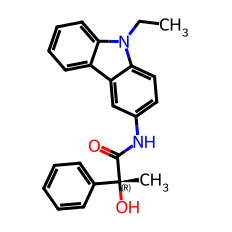 CCn1c2ccccc2c2cc(NC(=O)[C@](C)(O)c3ccccc3)ccc21